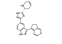 C1=CC[C@H](c2nc(-c3ccc4[nH]nc(C5=C6C=COC=C6CC5)c4c3)n[nH]2)NC1